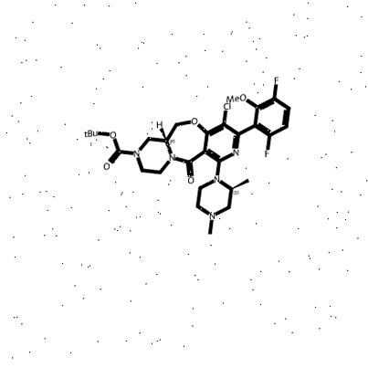 COc1c(F)ccc(F)c1-c1nc(N2CCN(C)C[C@@H]2C)c2c(c1Cl)OC[C@H]1CN(C(=O)OC(C)(C)C)CCN1C2=O